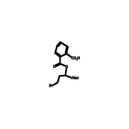 CCCCCCCCCC(CCC(C)C)OC(=O)c1ccccc1C(=O)O